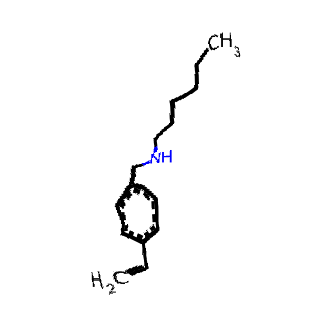 C=Cc1ccc(CNCCCCCC)cc1